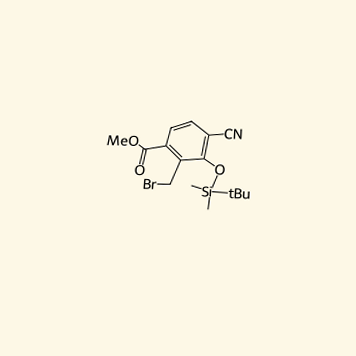 COC(=O)c1ccc(C#N)c(O[Si](C)(C)C(C)(C)C)c1CBr